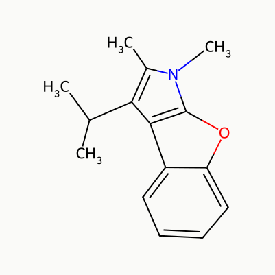 Cc1c(C(C)C)c2c3ccccc3oc2n1C